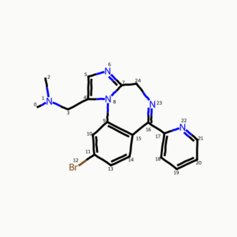 CN(C)Cc1cnc2n1-c1cc(Br)ccc1C(c1ccccn1)=NC2